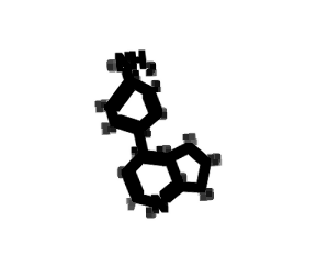 Nc1ccc(-c2ccnc3c2CCC3)cc1